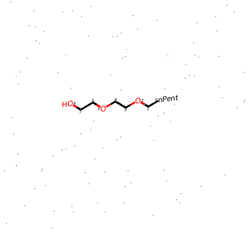 [CH2]CCCCCOCCOCCO